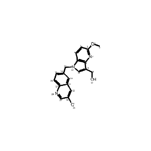 COc1ccc2c(n1)c(CO)cn2Cc1ccc2ncc(Cl)cc2c1